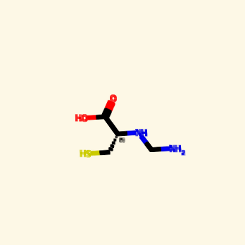 NCN[C@H](CS)C(=O)O